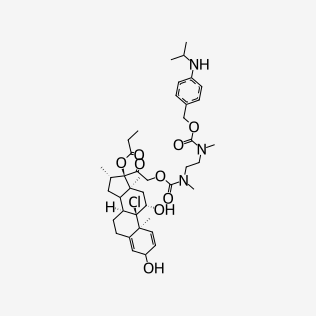 CCC(=O)O[C@]1(C(=O)COC(=O)N(C)CCN(C)C(=O)OCc2ccc(NC(C)C)cc2)[C@@H](C)CC2[C@@H]3CCC4=CC(O)C=C[C@]4(C)[C@@]3(Cl)[C@@H](O)C[C@@]21C